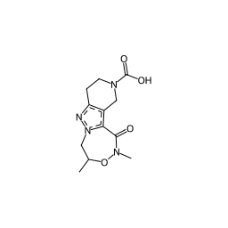 CC1Cn2nc3c(c2C(=O)N(C)O1)CN(C(=O)O)CC3